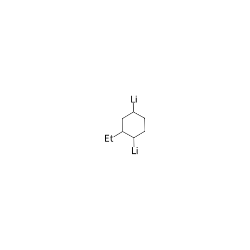 [Li][CH]1CC[CH]([Li])C(CC)C1